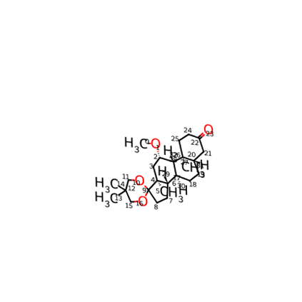 CO[C@H]1C[C@@]2(C)[C@@H](CCC23OCC(C)(C)CO3)[C@@H]2CC[C@H]3CC(=O)CC[C@]3(C)[C@H]21